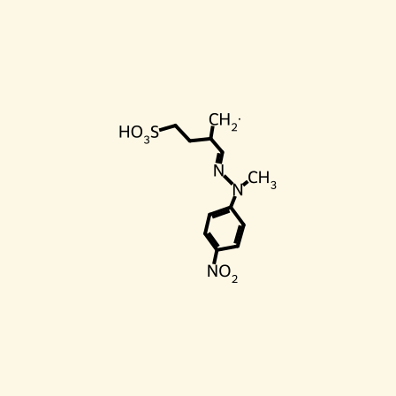 [CH2]C(C=NN(C)c1ccc([N+](=O)[O-])cc1)CCS(=O)(=O)O